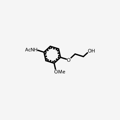 COc1cc(NC(C)=O)ccc1OCCO